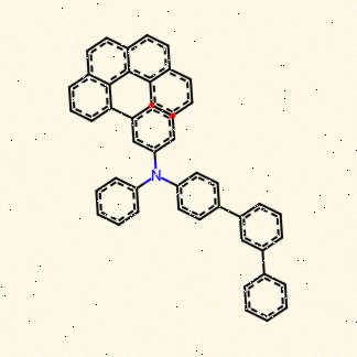 c1ccc(-c2cccc(-c3ccc(N(c4ccccc4)c4cccc(-c5cccc6ccc7ccc8ccccc8c7c56)c4)cc3)c2)cc1